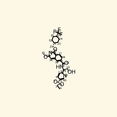 CCS(=O)(=O)c1ccc([C@H](CO)NC(=O)c2ccc3c(OC[C@H]4CC[C@H](C(F)(F)F)CC4)nc(OC)cc3c2)nc1